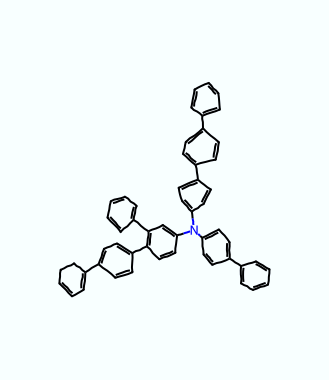 C1=CCCC(c2ccc(-c3ccc(N(c4ccc(-c5ccccc5)cc4)c4ccc(-c5ccc(-c6ccccc6)cc5)cc4)cc3-c3ccccc3)cc2)=C1